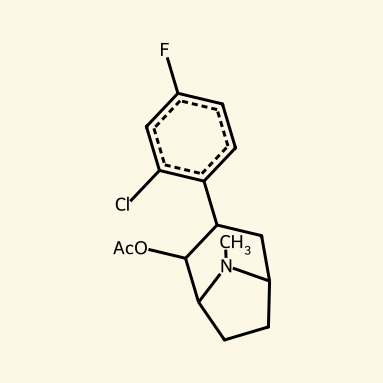 CC(=O)OC1C(c2ccc(F)cc2Cl)CC2CCC1N2C